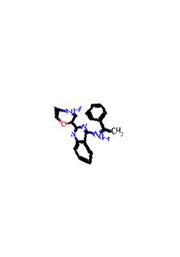 CC(Nc1nc(C2CNCCO2)nc2ccccc12)c1ccccc1